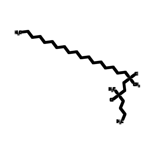 CCCCCCCCCCCCCCCCCC[Si](C)(Cl)CC[Si](C)(Cl)CCCC